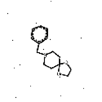 [c]1cccc(CN2CCC3(CC2)OCCO3)c1